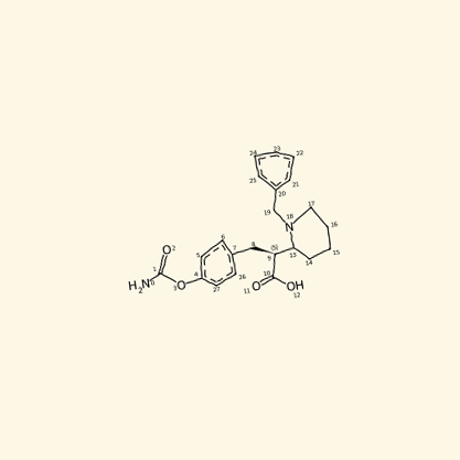 NC(=O)Oc1ccc(C[C@H](C(=O)O)C2CCCCN2Cc2ccccc2)cc1